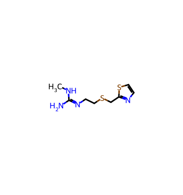 CNC(N)=NCCSCc1nccs1